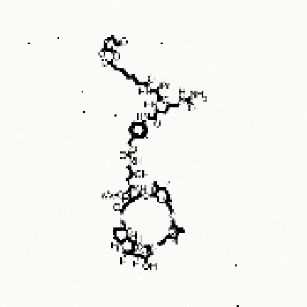 C=C1C[C@@H]2CC[C@]34C[C@@H](O)[C@H](O3)[C@H]3C[C@@H](O4)[C@H]4OC(CC[C@@H]4O3)CC(=O)C[C@@H]3[C@@H](OC)[C@@H](C[C@H](O)CNC(=O)OCc4ccc(NC(=O)[C@H](CCCNC(N)=O)NC(=O)[C@@H](NC(=O)CCCCCC(=O)ON5C(=O)CCC5=O)C(C)C)cc4)O[C@H]3C[C@H]3O[C@@H](CCC1O2)C[C@@H](C)C3=C